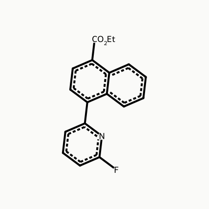 CCOC(=O)c1ccc(-c2cccc(F)n2)c2ccccc12